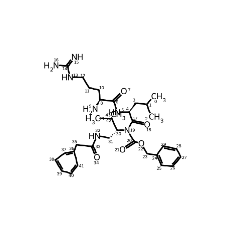 CC(C)C[C@H](NC(=O)[C@@H](N)CCCNC(=N)N)C(=O)N(C(=O)OCc1ccccc1)[C@H](CNC(=O)Cc1ccccc1)C(C)C